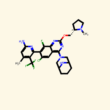 Cc1cc(N)nc(-c2c(Cl)cc3c(N4CC5CCCC(C4)N5)nc(OC[C@@H]4CCCN4C)nc3c2F)c1C(F)(F)F